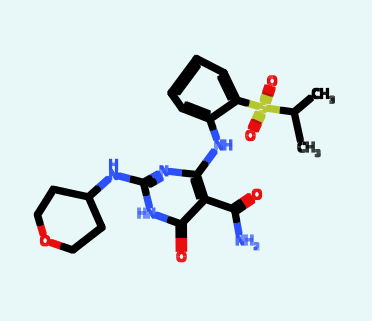 CC(C)S(=O)(=O)c1ccccc1Nc1nc(NC2CCOCC2)[nH]c(=O)c1C(N)=O